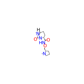 CN1CCC[C@@H]1CONC(=O)[C@@H]1CC[C@@H]2CN1C(=O)N2C